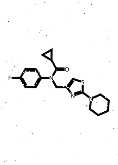 O=C(C1CC1)N(Cc1csc(N2CCCCC2)n1)c1ccc(F)cc1